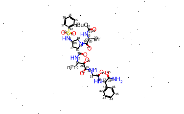 CCCC(NC(=O)[C@@H]1C[C@@H](NS(=O)(=O)c2ccccc2)CN1C(=O)[C@@H](NC(=O)OCC(C)C)C(C)C)C(=O)C(=O)NCC(=O)N[C@H](C(N)=O)c1ccccc1